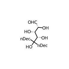 CCCCCCCCCCC(O)(CCCCCCCCCC)[C@@H](O)[C@H](O)[C@@H](O)C=O